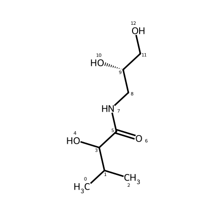 CC(C)C(O)C(=O)NC[C@H](O)CO